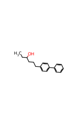 CCC(O)CCCc1ccc(-c2ccccc2)cc1